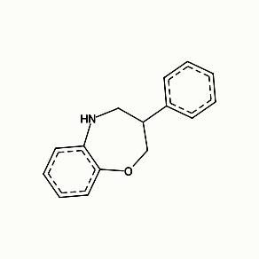 c1ccc(C2CNc3ccccc3OC2)cc1